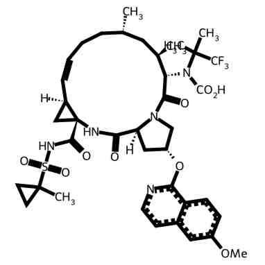 COc1ccc2c(O[C@@H]3C[C@H]4C(=O)N[C@]5(C(=O)NS(=O)(=O)C6(C)CC6)C[C@H]5/C=C\CC[C@H](C)C[C@@H](C)[C@H](N(C(=O)O)C(C)(C)C(F)(F)F)C(=O)N4C3)nccc2c1